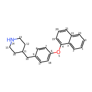 c1ccc2c(Oc3ccc(CC4CCNCC4)cc3)cccc2c1